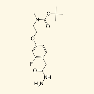 CN(CCOc1ccc(CC(=O)NN)c(F)c1)C(=O)OC(C)(C)C